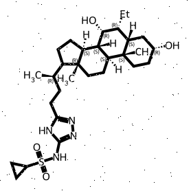 CC[C@H]1[C@@H](O)[C@@H]2[C@H](CC[C@]3(C)C([C@H](C)CCc4nnc(NS(=O)(=O)C5CC5)[nH]4)CC[C@@H]23)[C@@]2(C)CC[C@@H](O)C[C@@H]12